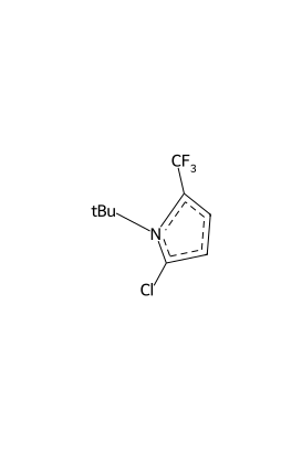 CC(C)(C)n1c(Cl)ccc1C(F)(F)F